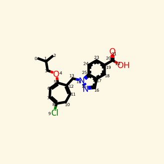 CC(C)COC1=CC=C(Cl)CC=C1Cn1ncc2cc(C(=O)O)ccc21